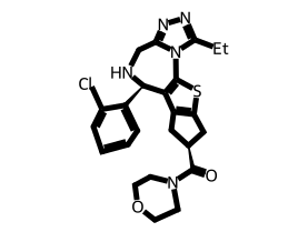 CCc1nnc2n1-c1sc3c(c1[C@@H](c1ccccc1Cl)NC2)C[C@H](C(=O)N1CCOCC1)C3